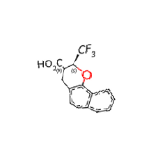 O=C(O)[C@@H]1Cc2ccc3ccccc3c2O[C@@H]1C(F)(F)F